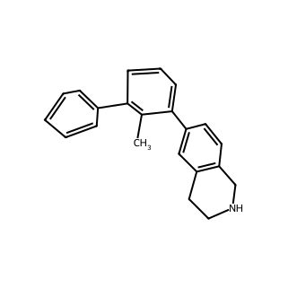 Cc1c(-c2ccccc2)cccc1-c1ccc2c(c1)CCNC2